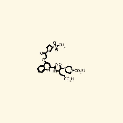 CCOC(=O)N1CCN(C(=O)C(CCC(=O)O)NC(=O)c2cc(OCC(=O)N3CC[C@H](S(C)(=O)=O)C3)c3ccccc3n2)CC1